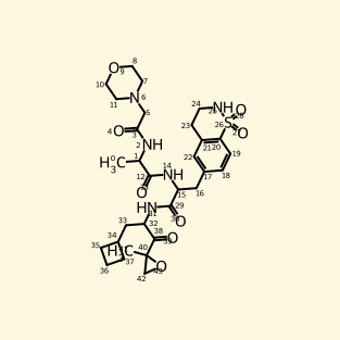 CC(NC(=O)CN1CCOCC1)C(=O)NC(Cc1ccc2c(c1)CCNS2(=O)=O)C(=O)NC(CC1CCC1)C(=O)C1(C)CO1